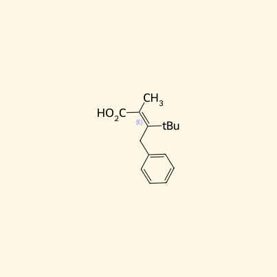 C/C(C(=O)O)=C(/Cc1ccccc1)C(C)(C)C